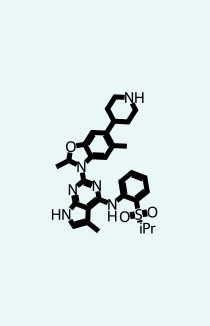 Cc1cc2c(cc1C1CCNCC1)OC(C)N2c1nc(Nc2ccccc2S(=O)(=O)C(C)C)c2c(C)c[nH]c2n1